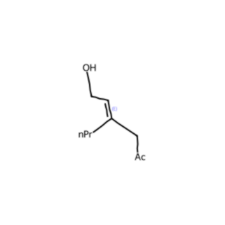 CCC/C(=C\CO)CC(C)=O